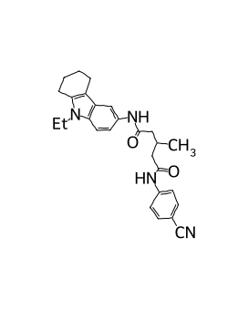 CCn1c2c(c3cc(NC(=O)CC(C)CC(=O)Nc4ccc(C#N)cc4)ccc31)CCCC2